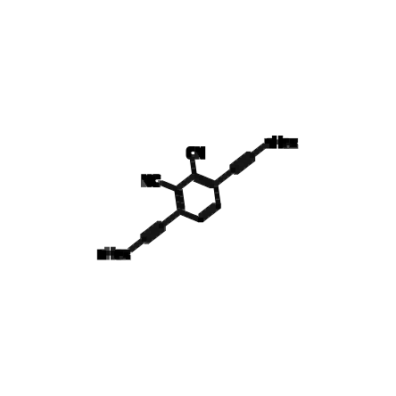 CCCCCCC#Cc1ccc(C#CCCCCCC)c(C#N)c1C#N